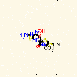 N#CCSC1=C(C(=O)O)N2C(=O)[C@@H](NC(=O)/C(=N\O)c3csc(N)n3)[C@H]2SC1